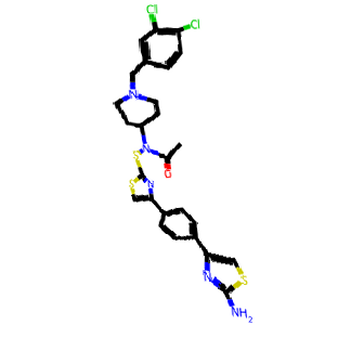 CC(=O)N(Sc1nc(-c2ccc(-c3csc(N)n3)cc2)cs1)C1CCN(Cc2ccc(Cl)c(Cl)c2)CC1